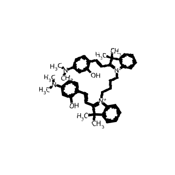 CN(C)c1ccc(/C=C/C2=[N+](CCCC[N+]3=C(/C=C/c4ccc(N(C)C)cc4O)C(C)(C)c4ccccc43)c3ccccc3C2(C)C)c(O)c1